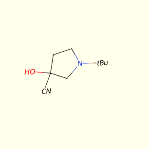 CC(C)(C)N1CCC(O)(C#N)C1